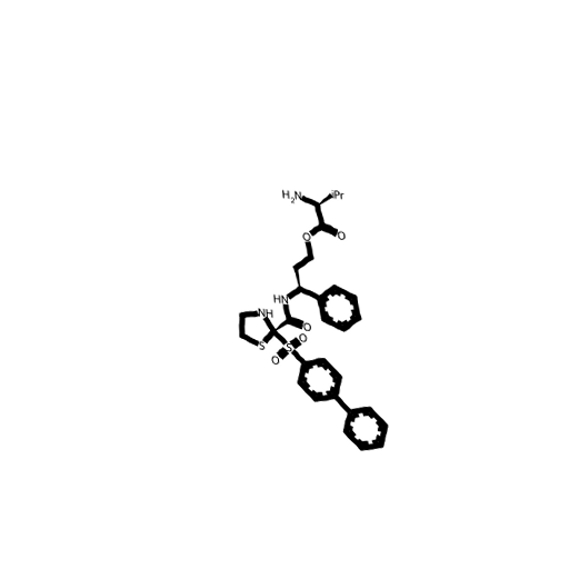 CC(C)[C@H](N)C(=O)OCC[C@H](NC(=O)[C@]1(S(=O)(=O)c2ccc(-c3ccccc3)cc2)NCCS1)c1ccccc1